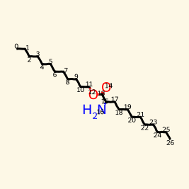 CCCCCCCCCCCCOC(=O)C(N)CCCCCCCCCC